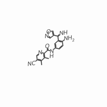 Cc1c(C#N)cnc(C(=O)Nc2ccc(N)c(C(=N)c3cnoc3)c2)c1C